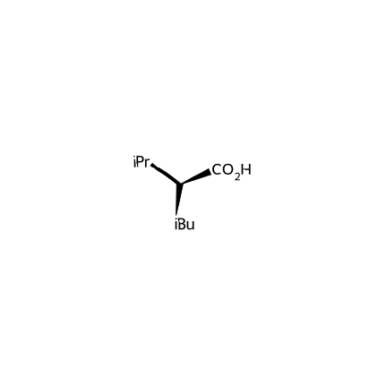 CC[C@H](C)[C@H](C(=O)O)C(C)C